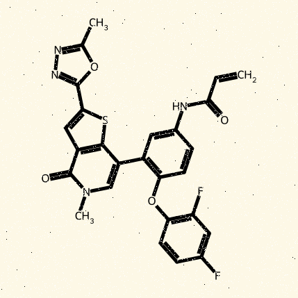 C=CC(=O)Nc1ccc(Oc2ccc(F)cc2F)c(-c2cn(C)c(=O)c3cc(-c4nnc(C)o4)sc23)c1